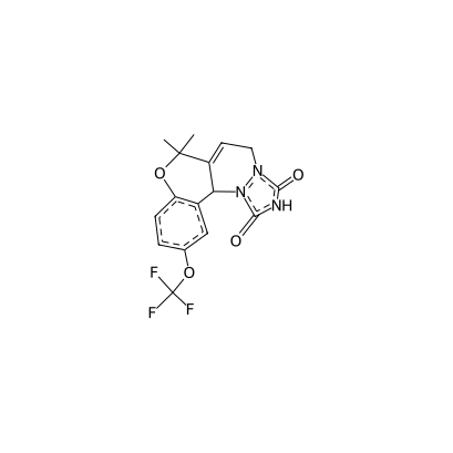 CC1(C)Oc2ccc(OC(F)(F)F)cc2C2C1=CCn1c(=O)[nH]c(=O)n12